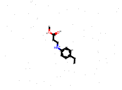 CCc1ccc(NCCC(=O)OC)cc1